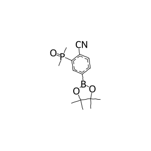 CC1(C)OB(c2ccc(C#N)c(P(C)(C)=O)c2)OC1(C)C